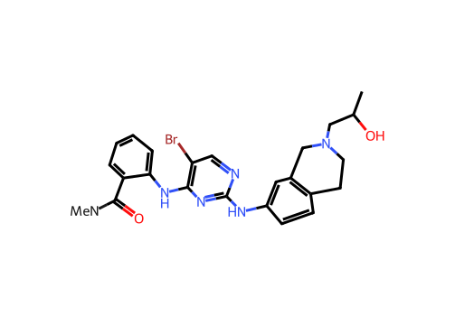 CNC(=O)c1ccccc1Nc1nc(Nc2ccc3c(c2)CN(CC(C)O)CC3)ncc1Br